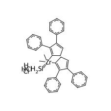 Cl.Cl.[CH3][Zr]([CH3])(=[SiH2])([C]1=C(c2ccccc2)C(c2ccccc2)=CC1)[C]1=C(c2ccccc2)C(c2ccccc2)=CC1